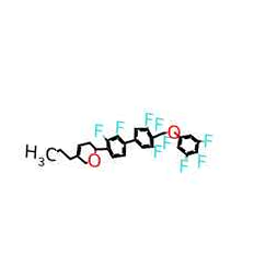 CCCC1=CCC(c2ccc(-c3cc(F)c(C(F)(F)Oc4cc(F)c(F)c(F)c4)c(F)c3)c(F)c2F)OC1